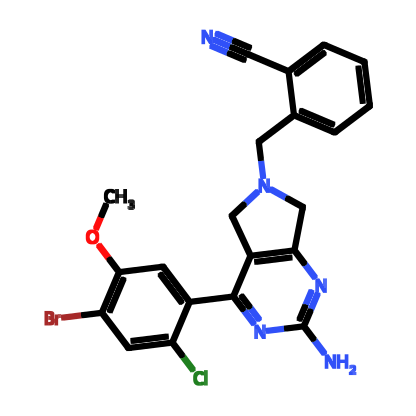 COc1cc(-c2nc(N)nc3c2CN(Cc2ccccc2C#N)C3)c(Cl)cc1Br